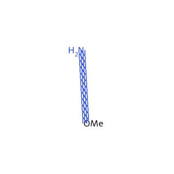 CON=NN=NN=NN=NN=NN=NN=NN=NN=NN=NN=NN